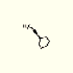 CC#C[C]1CCCCC1